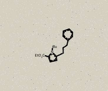 CCOC(=O)c1ccc(CCCc2ccccc2)n1C(C)CC